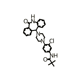 CC(C)(C)C(=O)Nc1ccc(N2CCN(C3c4ccccc4NC(=O)c4ccccc43)CC2)c(Cl)c1